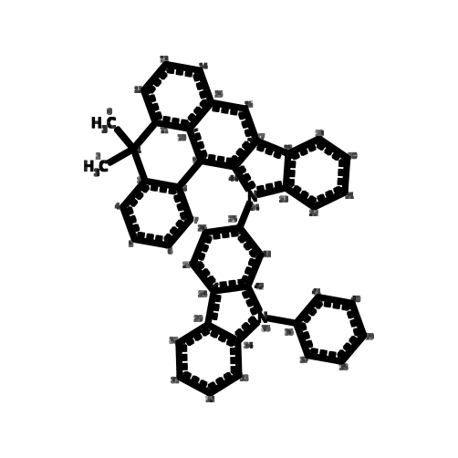 CC1(C)c2ccccc2-c2c3c1cccc3cc1c3ccccc3n(-c3ccc4c5ccccc5n(-c5ccccc5)c4c3)c21